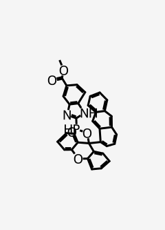 COC(=O)c1ccc2[nH]c([PH](=O)OC3(c4cccc5cc6ccccc6cc45)c4ccccc4Oc4ccccc43)nc2c1